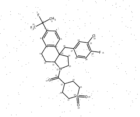 CC(F)(c1ccc2c(c1)CCC1N(C(=O)C3CCS(=O)(=O)CC3)CCC21Cc1ccc(F)c(Cl)c1)C(F)(F)F